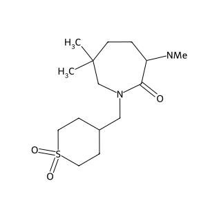 CNC1CCC(C)(C)CN(CC2CCS(=O)(=O)CC2)C1=O